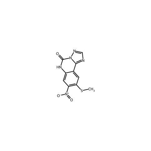 CSc1cc2c(cc1[N+](=O)[O-])[nH]c(=O)n1ncnc21